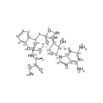 CC(C)OC(=O)CCc1ccccc1OP(=O)(N[C@@H](C)C(=O)OC(C)C)OC[C@H]1O[C@@H](n2cnc3c(N)nc(N)nc32)[C@](C)(O)[C@@H]1O